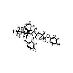 Cc1ccc(C)c(OCC(CC(C)(C)C(=O)Oc2ccccc2)C(C)(CC(F)(F)C(F)(F)C(F)(F)C(F)(F)F)c2ccncc2)c1